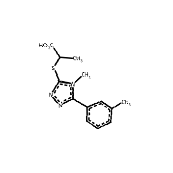 Cc1cccc(-c2nnc(SC(C)C(=O)O)n2C)c1